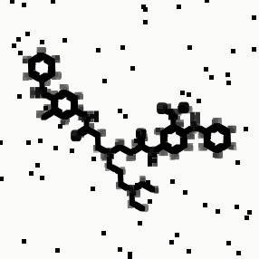 CCN(CC)CCCN(CCC(=O)Nc1ccc(Nc2ccccc2)c(C)c1)CCC(=O)Nc1ccc(Nc2ccccc2)c([N+](=O)[O-])c1